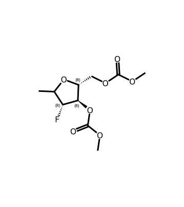 COC(=O)OC[C@H]1OC(C)[C@@H](F)[C@@H]1OC(=O)OC